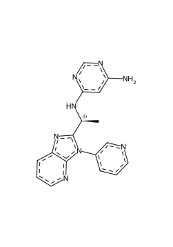 C[C@H](Nc1cc(N)ncn1)c1nc2cccnc2n1-c1cccnc1